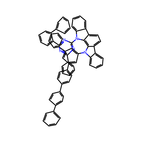 c1ccc(-c2ccc(-c3ccc(-c4cc(-c5ccccc5)cc(-n5c6ccccc6c6ccc7c8ccccc8n(-c8nc(-c9ccccc9)nc(-c9ccccc9-c9ccccc9)n8)c7c65)c4)cc3)cc2)cc1